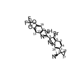 N#CC1(c2ccc3c(Br)c(-c4nc5cc6c(cc5[nH]4)OC(F)(F)O6)nn3c2)CC1